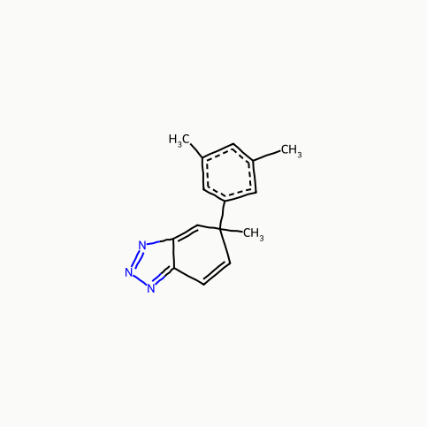 Cc1cc(C)cc(C2(C)C=CC3=NN=NC3=C2)c1